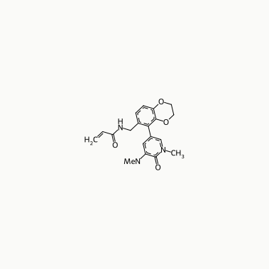 C=CC(=O)NCc1ccc2c(c1-c1cc(NC)c(=O)n(C)c1)OCCO2